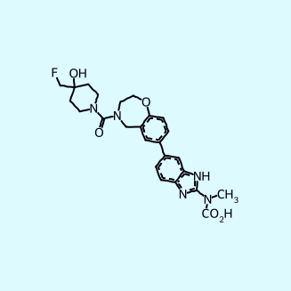 CN(C(=O)O)c1nc2ccc(-c3ccc4c(c3)CN(C(=O)N3CCC(O)(CF)CC3)CCO4)cc2[nH]1